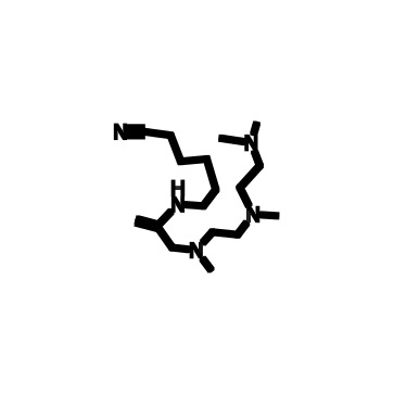 C=C(CN(C)CCN(C)CCN(C)C)NCCCCCC#N